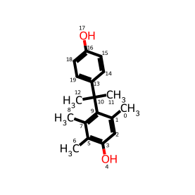 Cc1cc(O)c(C)c(C)c1C(C)(C)c1ccc(O)cc1